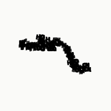 Cc1ncsc1-c1ccc([C@H](C)NC(=O)[C@@H]2C[C@@H](O)CN2C(=O)[C@@H](NC(=O)CN2CCN(CCCN3CCN(c4ccc(C(=O)N[C@H]5C(C)(C)[C@H](Oc6ccc(C#N)c(C#N)c6)C5(C)C)cn4)CC3)CC2)C(C)(C)C)cc1